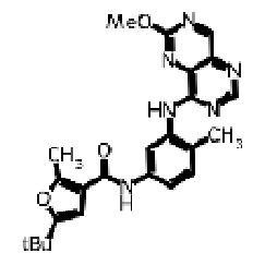 COc1ncc2ncnc(Nc3cc(NC(=O)c4cc(C(C)(C)C)oc4C)ccc3C)c2n1